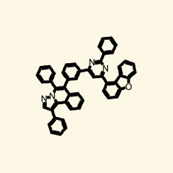 c1ccc(-c2nc(-c3cccc(-c4c(-c5ccccc5)n5ncc(-c6ccccc6)c5c5ccccc45)c3)cc(-c3cccc4oc5ccccc5c34)n2)cc1